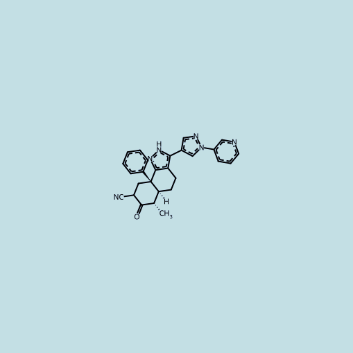 C[C@@H]1C(=O)C(C#N)C[C@]2(c3ccccc3)c3n[nH]c(-c4cnn(-c5cccnc5)c4)c3CC[C@@H]12